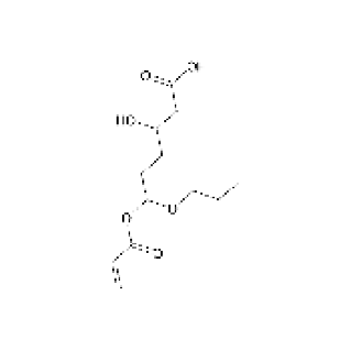 C=CC(=O)OC(CCC(O)CC(=O)O)OCCC